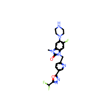 Cn1c(=O)n(Cc2ccc(-c3nnc(C(F)F)o3)cn2)c2cc(F)c(N3CCNCC3)cc21